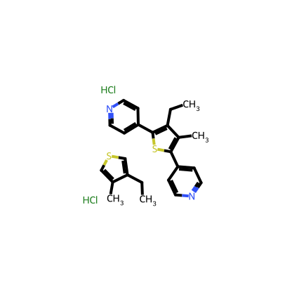 CCc1c(-c2ccncc2)sc(-c2ccncc2)c1C.CCc1cscc1C.Cl.Cl